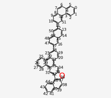 c1ccc2c(c1)ccc1ccc(-c3ccc4cc(-c5ccc6c(c5)c5ccccc5c5cc7c(cc65)oc5ccc6ccccc6c57)ccc4c3)cc12